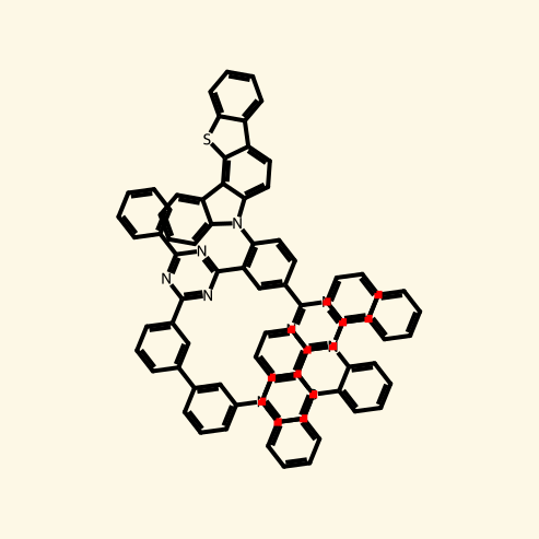 c1ccc(-c2nc(-c3ccccc3)nc(-c3ccc(-n4c5ccccc5c5c6sc7ccccc7c6ccc54)c(-c4nc(-c5ccccc5)nc(-c5cccc(-c6cccc(N7c8ccccc8B8c9ccccc9N(c9ccccc9)c9cccc7c98)c6)c5)n4)c3)n2)cc1